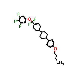 CCCCOc1ccc(C2CCC(C3CC=C(C(F)(F)Oc4cc(F)c(F)c(F)c4)CC3)CC2)cc1